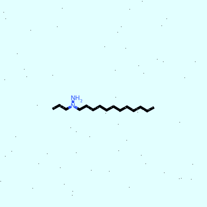 CCCCCCCCCCCCN(N)CCC